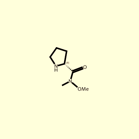 CON(C)C(=O)[C@H]1CCCN1